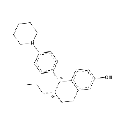 CCC[C@H]1CCc2cc(O)ccc2[C@H]1c1ccc(N2CCCCC2)cc1